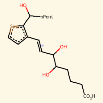 CCCCCC(O)c1sccc1/C=C/C(O)C(O)CCCC(=O)O